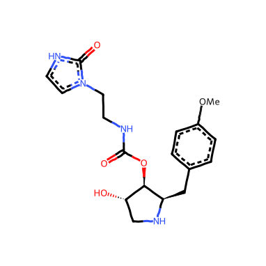 COc1ccc(C[C@H]2NC[C@H](O)[C@H]2OC(=O)NCCn2cc[nH]c2=O)cc1